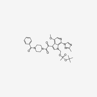 COc1cnc(-n2cnc(C)n2)c2c1c(C(=O)C(=O)N1CCN(C(=O)c3ccccc3)CC1)cn2COP(C)(=O)OC(C)(C)C